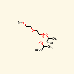 CCCCCCC(C)O.CCCCCCC(C)O.CCOCCOCCO